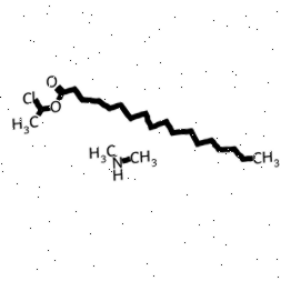 CCCCCCCCCCCCCCCCCC(=O)OC(C)Cl.CNC